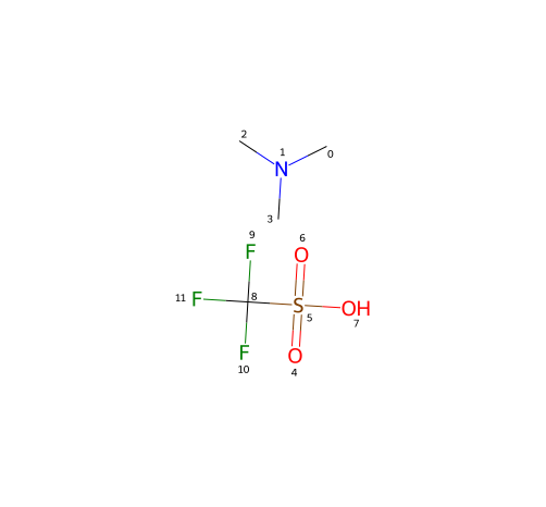 CN(C)C.O=S(=O)(O)C(F)(F)F